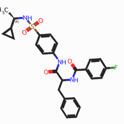 C[C@@H](NS(=O)(=O)c1ccc(NC(=O)C(Cc2ccccc2)NC(=O)c2ccc(F)cc2)cc1)C1CC1